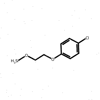 [SiH3]OCCOc1ccc(Cl)cc1